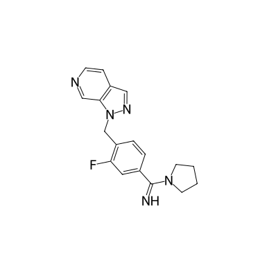 N=C(c1ccc(Cn2ncc3ccncc32)c(F)c1)N1CCCC1